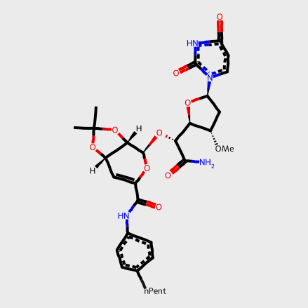 CCCCCc1ccc(NC(=O)C2=C[C@@H]3OC(C)(C)O[C@@H]3[C@@H](O[C@@H](C(N)=O)[C@H]3O[C@@H](n4ccc(=O)[nH]c4=O)C[C@@H]3OC)O2)cc1